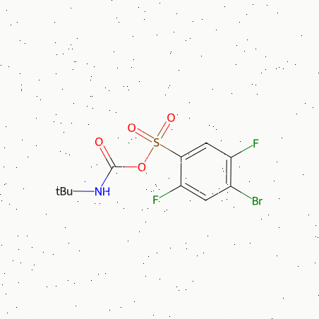 CC(C)(C)NC(=O)OS(=O)(=O)c1cc(F)c(Br)cc1F